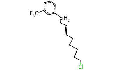 FC(F)(F)c1cccc([SiH2]CC=CCCCCCCl)c1